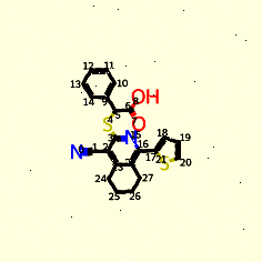 N#Cc1c(SC(C(=O)O)c2ccccc2)nc(-c2cccs2)c2c1CCCC2